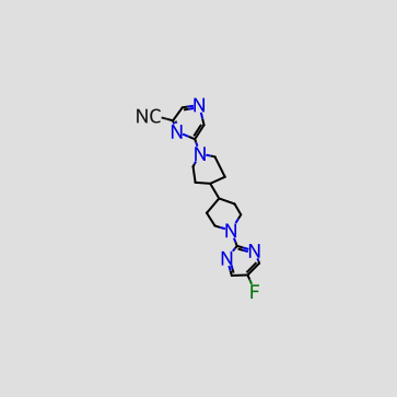 N#Cc1cncc(N2CCC(C3CCN(c4ncc(F)cn4)CC3)CC2)n1